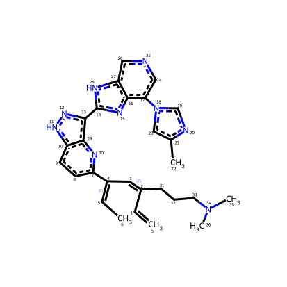 C=C/C(=C\C(=C/C)c1ccc2[nH]nc(-c3nc4c(-n5cnc(C)c5)cncc4[nH]3)c2n1)CCCN(C)C